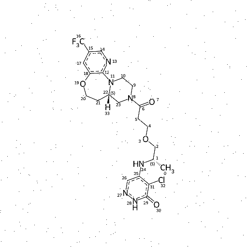 C[C@@H](COCCC(=O)N1CCN2c3ncc(C(F)(F)F)cc3OCC[C@H]2C1)Nc1cn[nH]c(=O)c1Cl